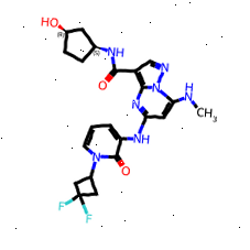 CNc1cc(Nc2cccn(C3CC(F)(F)C3)c2=O)nc2c(C(=O)N[C@H]3CC[C@@H](O)C3)cnn12